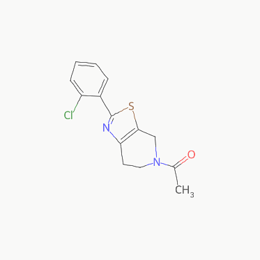 CC(=O)N1CCc2nc(-c3ccccc3Cl)sc2C1